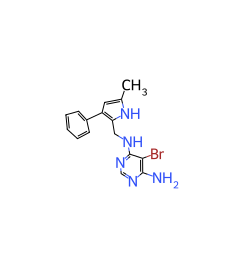 Cc1cc(-c2ccccc2)c(CNc2ncnc(N)c2Br)[nH]1